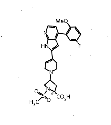 COc1ccc(F)cc1-c1ccnc2[nH]c(C3=CCN(C4C[C@@H](C(=O)O)N(S(C)(=O)=O)C4)CC3)cc12